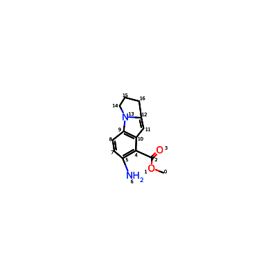 COC(=O)c1c(N)ccc2c1cc1n2CCC1